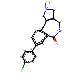 O=C1NCC2CN(C(=O)O)CC2c2ccc(-c3ccc(F)cc3)cc21